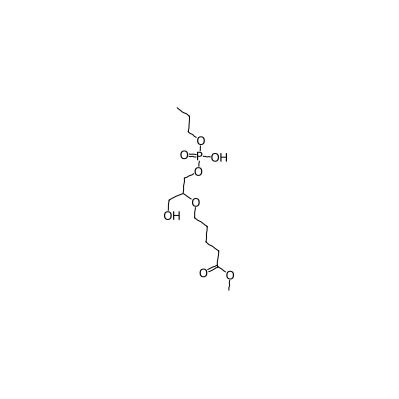 CCCOP(=O)(O)OCC(CO)OCCCCC(=O)OC